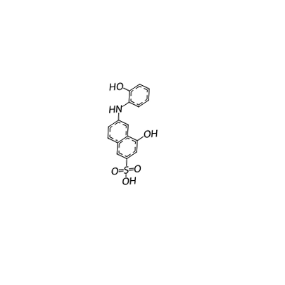 O=S(=O)(O)c1cc(O)c2cc(Nc3ccccc3O)ccc2c1